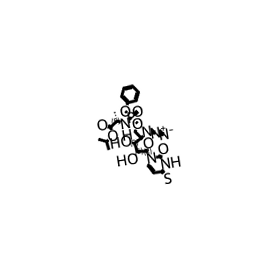 CC(C)OC(=O)[C@H](C)NP(=O)(OCC1(N=[N+]=[N-])O[C@@H](n2ccc(=S)[nH]c2=O)[C@@H](O)[C@H]1O)Oc1ccccc1